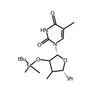 Cc1cn([C@@H]2O[C@H](C(C)C)C(C)C2O[Si](C)(C)C(C)(C)C)c(=O)[nH]c1=O